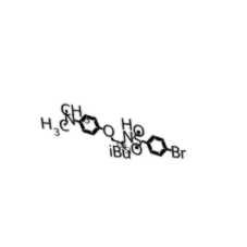 CC[C@H](C)[C@@H](COc1ccc(N(C)C)cc1)NS(=O)(=O)c1ccc(Br)cc1